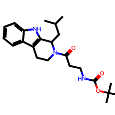 CC(C)CC1c2[nH]c3ccccc3c2CCN1C(=O)CCNC(=O)OC(C)(C)C